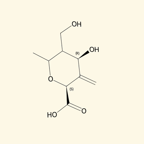 C=C1[C@@H](C(=O)O)OC(C)C(CO)[C@H]1O